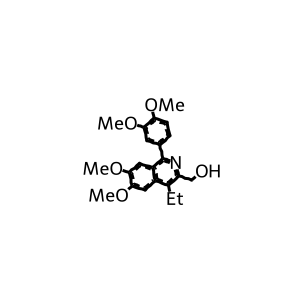 CCc1c(CO)nc(-c2ccc(OC)c(OC)c2)c2cc(OC)c(OC)cc12